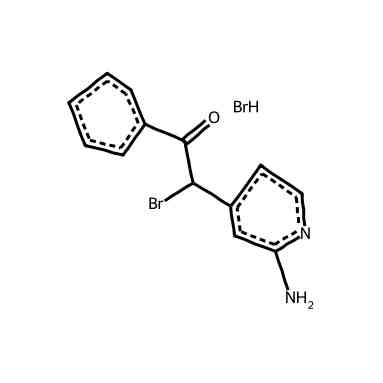 Br.Nc1cc(C(Br)C(=O)c2ccccc2)ccn1